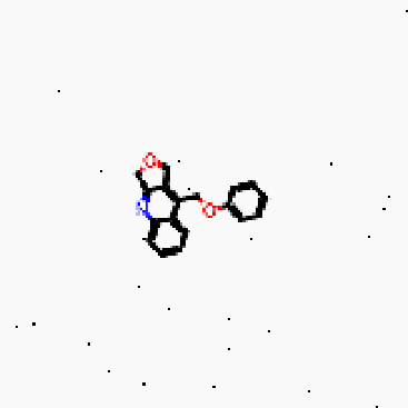 [c]1ccc(OCc2c3c(nc4ccccc24)COC3)cc1